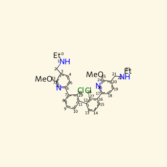 CCNCc1ccc(-c2cccc(-c3cccc(-c4ccc(CNCC)c(OC)n4)c3Cl)c2Cl)nc1OC